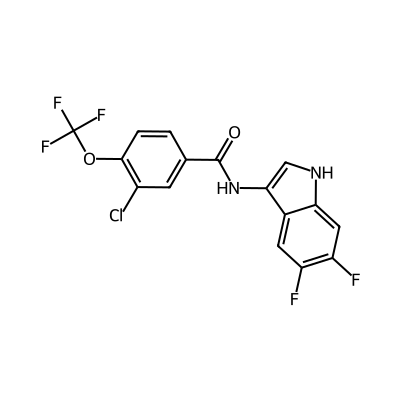 O=C(Nc1c[nH]c2cc(F)c(F)cc12)c1ccc(OC(F)(F)F)c(Cl)c1